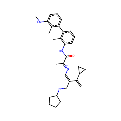 C=C(/C(=C\N=C(/C)C(=O)Nc1cccc(-c2cccc(NC)c2C)c1C)CNC1CCCC1)C1CC1